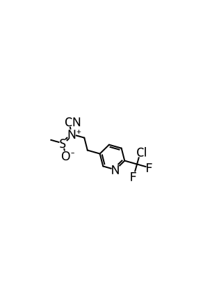 CS([O-])=[N+](C#N)CCc1ccc(C(F)(F)Cl)nc1